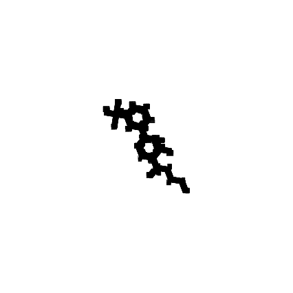 CCCCN(C)c1ccc(-c2cccc(C(C)(C)C)c2)nc1C